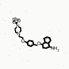 CC(C)(C)OC(=O)N1CCN(CCOc2ccc(COc3ccc(N)c4ccccc34)cc2)CC1